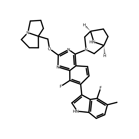 Cc1ccc2[nH]cc(-c3ccc4c(N5C[C@H]6CC[C@@H](C5)N6)nc(OCC56CCCN5CCC6)nc4c3F)c2c1F